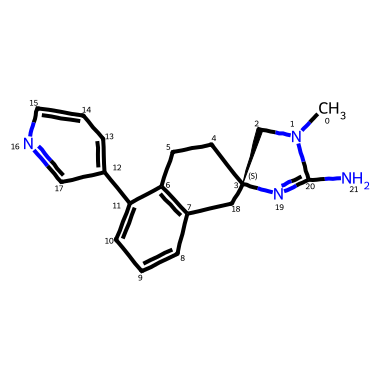 CN1C[C@@]2(CCc3c(cccc3-c3cccnc3)C2)N=C1N